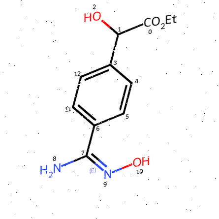 CCOC(=O)C(O)c1ccc(/C(N)=N\O)cc1